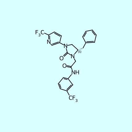 O=C(CN1C(=O)N(c2ccc(C(F)(F)F)nc2)C[C@@H]1Cc1ccccc1)Nc1cccc(C(F)(F)F)c1